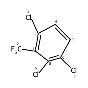 FC(F)(F)c1c(Cl)ccc(Cl)c1Cl